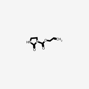 C=CCOC(=O)N1CCNC1=O